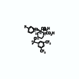 CC[C@]1(C(=O)O)CC[C@H](O[C@H](C)c2cc(C(F)(F)F)cc(C(F)(F)F)c2)[C@H](c2ccc(F)cc2)[C@]1(CC)C(=O)O